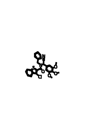 COc1cc(C(C#N)N(Cc2ccccc2)C(=O)c2sc3ccccc3c2Cl)cc(OC)c1OC